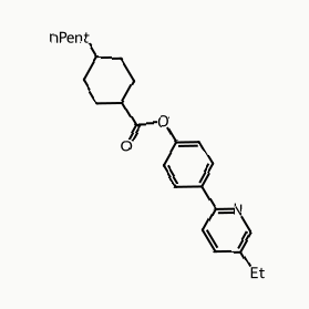 CCCCCC1CCC(C(=O)Oc2ccc(-c3ccc(CC)cn3)cc2)CC1